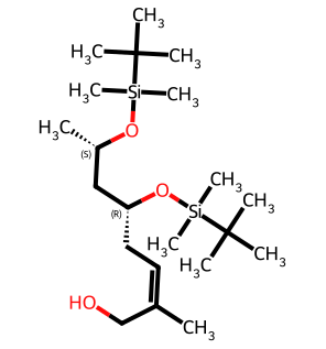 CC(=CC[C@H](C[C@H](C)O[Si](C)(C)C(C)(C)C)O[Si](C)(C)C(C)(C)C)CO